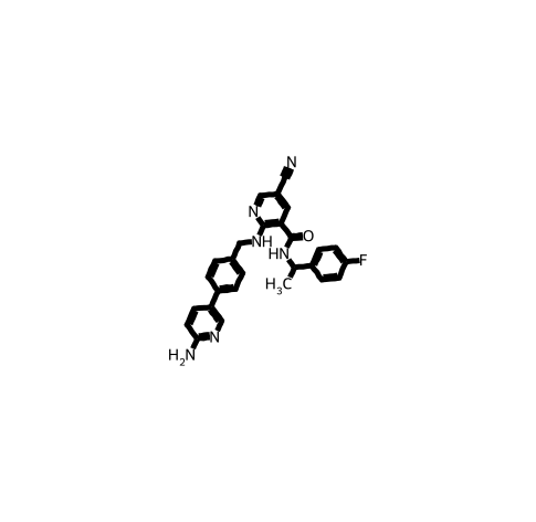 CC(NC(=O)c1cc(C#N)cnc1NCc1ccc(-c2ccc(N)nc2)cc1)c1ccc(F)cc1